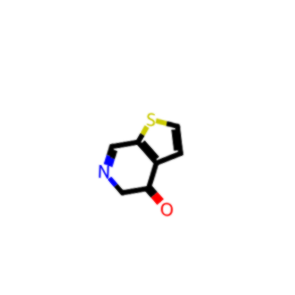 O=C1CN=Cc2sccc21